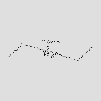 CCCCCCCC/C=C\CCCCCCCCOC(=O)CC(O)C(=O)OCCCCCCCC/C=C\CCCCCCCC.CCC[CH2][Sn][CH2]CCC